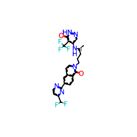 C[C@@H](CCCn1ccc2cc(-c3nccc(C(F)F)n3)ccc2c1=O)Nc1cn[nH]c(=O)c1C(F)(F)F